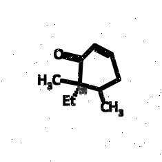 CC[C@]1(C)C(=O)C=CCC1C